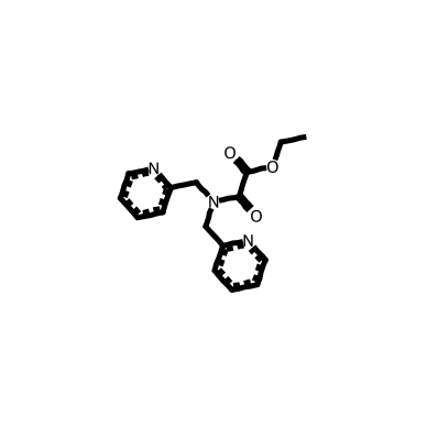 CCOC(=O)C(=O)N(Cc1ccccn1)Cc1ccccn1